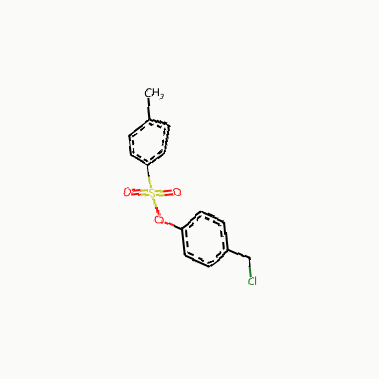 Cc1ccc(S(=O)(=O)Oc2ccc(CCl)cc2)cc1